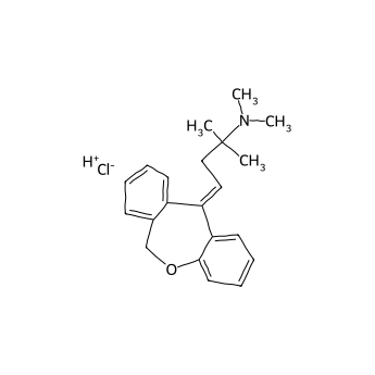 CN(C)C(C)(C)C/C=C1\c2ccccc2COc2ccccc21.[Cl-].[H+]